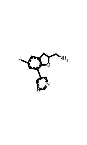 NCC1Cc2cc(F)cc(-c3cncnc3)c2O1